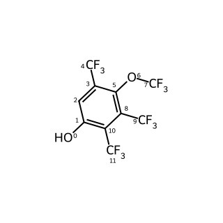 Oc1cc(C(F)(F)F)c(OC(F)(F)F)c(C(F)(F)F)c1C(F)(F)F